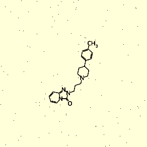 Cc1ccc(C2CCN(CCCn3nc4ccccn4c3=O)CC2)cc1